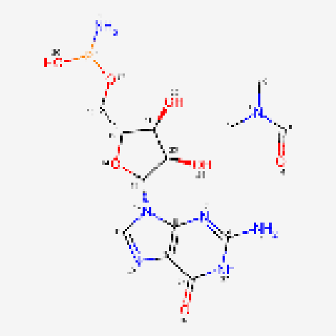 CN(C)C=O.Nc1nc2c(ncn2[C@@H]2O[C@H](COP(N)O)[C@@H](O)[C@H]2O)c(=O)[nH]1